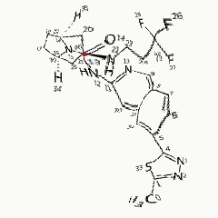 Cc1nnc(-c2ccc3cnc(NC(=O)N4[C@@H]5CC[C@H]4C[C@@H](NCCC(F)(F)F)C5)cc3c2)s1